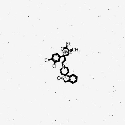 CCC(=O)N(C)C[C@@](CCN1CCC2(CC1)c1ccccc1C[S+]2[O-])(NC)c1ccc(Cl)c(Cl)c1